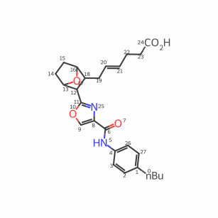 CCCCc1ccc(NC(=O)c2coc(C3C4CCC(O4)C3CC=CCCC(=O)O)n2)cc1